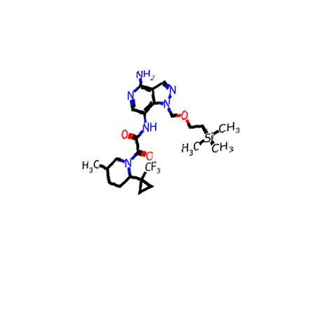 CC1CCC(C2(C(F)(F)F)CC2)N(C(=O)C(=O)Nc2cnc(N)c3cnn(COCC[Si](C)(C)C)c23)C1